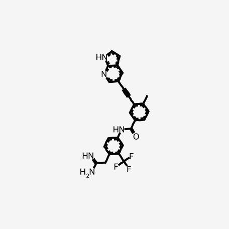 Cc1ccc(C(=O)Nc2ccc(CC(=N)N)c(C(F)(F)F)c2)cc1C#Cc1cnc2[nH]ccc2c1